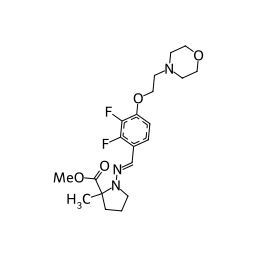 COC(=O)C1(C)CCCN1N=Cc1ccc(OCCN2CCOCC2)c(F)c1F